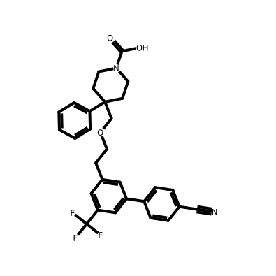 N#Cc1ccc(-c2cc(CCOCC3(c4ccccc4)CCN(C(=O)O)CC3)cc(C(F)(F)F)c2)cc1